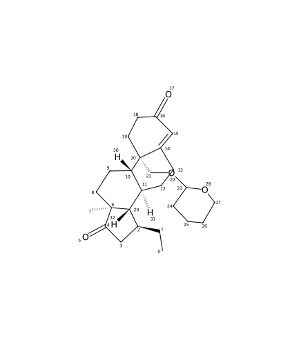 CC[C@H]1CC(=O)[C@@]2(C)CC[C@H]3[C@@H](CCC4=CC(=O)CC[C@@]43COC3CCCCO3)[C@H]12